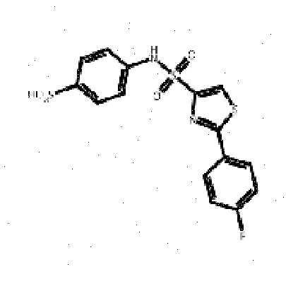 O=S(=O)(O)c1ccc(NS(=O)(=O)c2csc(-c3ccc(F)cc3)n2)cc1